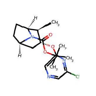 C[C@H]1[C@H](Oc2cncc(Cl)n2)C[C@H]2CC[C@@H]1N2C(=O)OC(C)(C)C